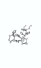 CCC(NC)NC(=O)c1cccc2nc3cccc(Cl)c3nc12